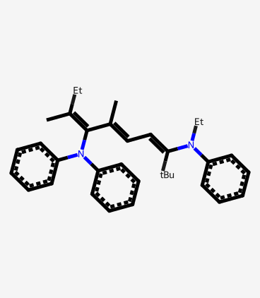 CC\C(C)=C(/C(C)=C/C=C(/N(CC)c1ccccc1)C(C)(C)C)N(c1ccccc1)c1ccccc1